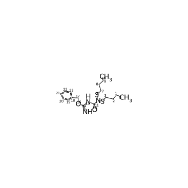 CCCCSN(SCCCC)C(=O)NC(=N)OCc1ccccc1